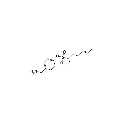 CC=CCCC(C)S(=O)(=O)Oc1ccc(CN)cc1